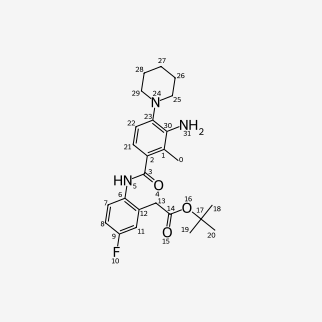 Cc1c(C(=O)Nc2ccc(F)cc2CC(=O)OC(C)(C)C)ccc(N2CCCCC2)c1N